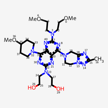 COCCN(CCOC)c1nc(N2CCn3nc(C)nc3C2)c2nc(N(CCO)CCO)nc(N3CCC(OC)CC3)c2n1